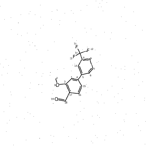 COc1cc(-c2cccc(C(F)(F)F)c2)ccc1C=O